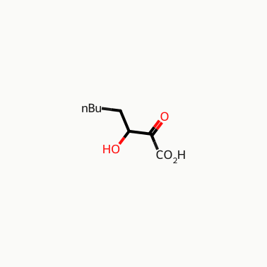 CCCCCC(O)C(=O)C(=O)O